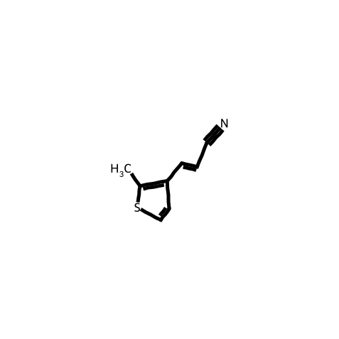 Cc1sccc1C=CC#N